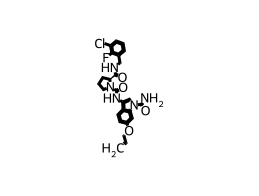 C=CCOc1ccc2c(NC(=O)N3CCC[C@H]3C(=O)NCc3cccc(Cl)c3F)cn(C(N)=O)c2c1